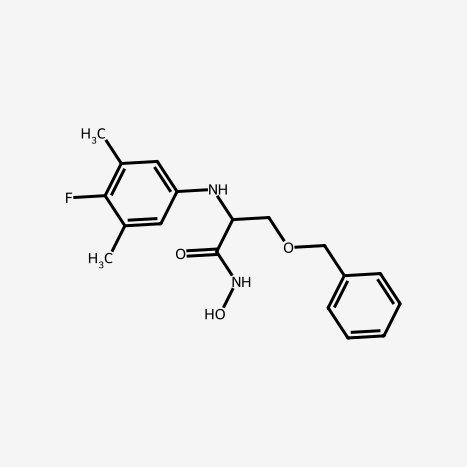 Cc1cc(NC(COCc2ccccc2)C(=O)NO)cc(C)c1F